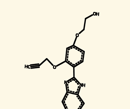 C#CCOc1cc(OCCO)ccc1-c1nc2cnccc2[nH]1